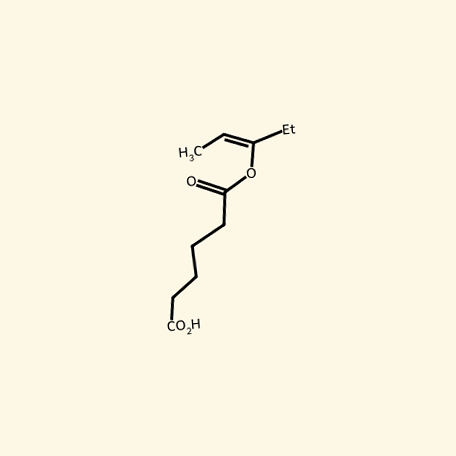 CC=C(CC)OC(=O)CCCCC(=O)O